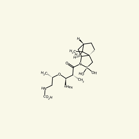 CCCCCC[C@@H](O[C@@H](C)CNC(=O)O)[C@@H](C)C(=O)N1[C@H]2C[C@@H]3CC[C@@]2(CS1(O)O)C3(C)C